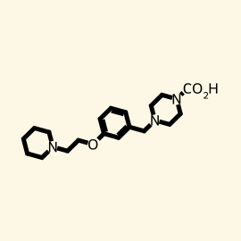 O=C(O)N1CCN(Cc2cccc(OCCN3CCCCC3)c2)CC1